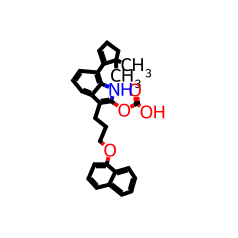 CC1(C)CCC=C1c1cccc2c(CCCOc3cccc4ccccc34)c(OC(=O)O)[nH]c12